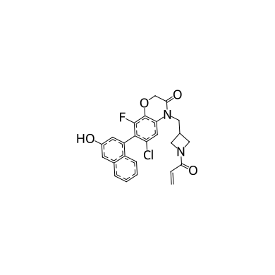 C=CC(=O)N1CC(CN2C(=O)COc3c2cc(Cl)c(-c2cc(O)cc4ccccc24)c3F)C1